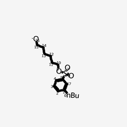 CCCCc1cccc(S(=O)(=O)OCCCCCC[O])c1